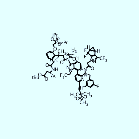 CC(=O)C(CC(=O)OC(C)(C)C)NC(=O)Cc1cccc(OCP(=O)(OC(C)C)OC(C)C)c1C(C)(C)CC(=O)N(c1nn(CC(F)(F)F)c2c(-c3ccc(C#CC(C)(C)S(C)(=O)=O)nc3[C@H](Cc3cc(F)cc(F)c3)NC(=O)Cn3nc(C(F)(F)F)c4c3C(F)(F)[C@@H]3C[C@H]43)ccc(Cl)c12)S(C)(=O)=O